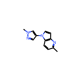 Cc1ccc2c(ccn2-c2cnn(C)c2)n1